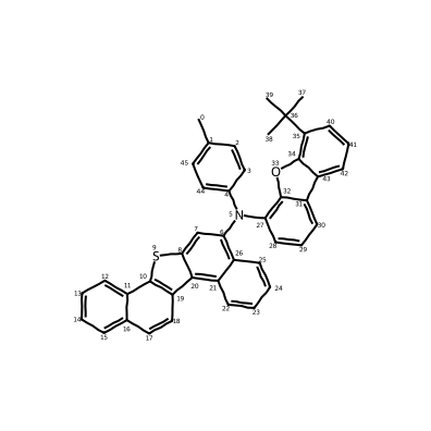 Cc1ccc(N(c2cc3sc4c5ccccc5ccc4c3c3ccccc23)c2cccc3c2oc2c(C(C)(C)C)cccc23)cc1